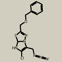 [N-]=[N+]=NCC1=C(Cl)NC2SC(COCc3ccccc3)=NN12